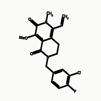 C=Cc1c2c(c(OC)c(=O)n1C)C(=O)N(Cc1ccc(F)c(Cl)c1)CC2